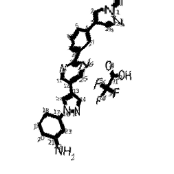 Cn1cc(-c2cccc(-c3ncc(-c4cnn(C5CCCC(N)C5)c4)cn3)c2)cn1.O=C(O)C(F)(F)F